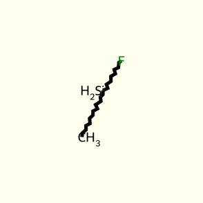 CCCCCCCCCCCCC[SiH2]CCCCCCCCF